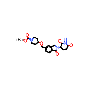 CC(C)(C)OC(=O)N1CCC(OCc2ccc3c(c2)CN(C2CCC(=O)NC2=O)C3=O)CC1